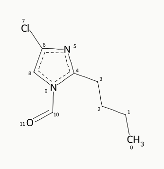 CCCCc1nc(Cl)cn1C=O